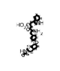 NC(Cc1ccc(Oc2ccc(CC3SC(=O)NC3=O)cc2)cc1)C(=O)CC(Cc1c[nH]c2ccccc12)C(=O)O